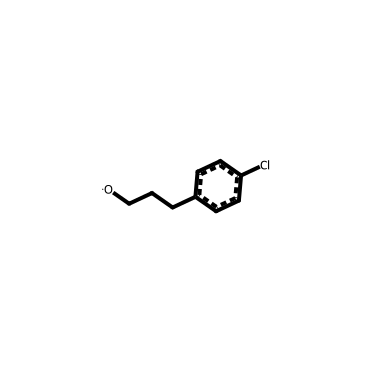 [O]CCCc1ccc(Cl)cc1